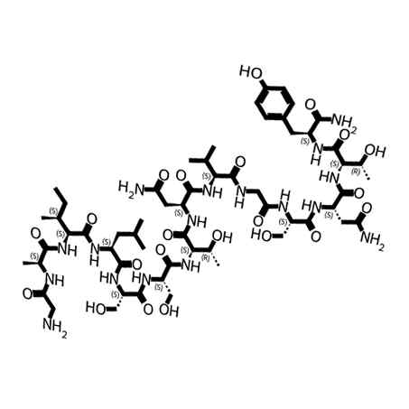 CC[C@H](C)[C@H](NC(=O)[C@H](C)NC(=O)CN)C(=O)N[C@@H](CC(C)C)C(=O)N[C@@H](CO)C(=O)N[C@@H](CO)C(=O)N[C@H](C(=O)N[C@@H](CC(N)=O)C(=O)N[C@H](C(=O)NCC(=O)N[C@@H](CO)C(=O)N[C@@H](CC(N)=O)C(=O)N[C@H](C(=O)N[C@@H](Cc1ccc(O)cc1)C(N)=O)[C@@H](C)O)C(C)C)[C@@H](C)O